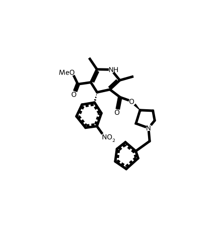 COC(=O)C1=C(C)NC(C)=C(C(=O)O[C@H]2CCN(Cc3ccccc3)C2)[C@@H]1c1cccc([N+](=O)[O-])c1